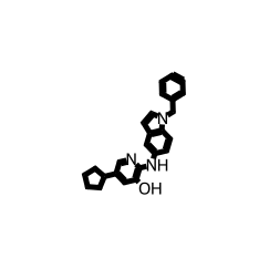 Oc1cc(C2CCCC2)cnc1Nc1ccc2c(ccn2Cc2cc#ccc2)c1